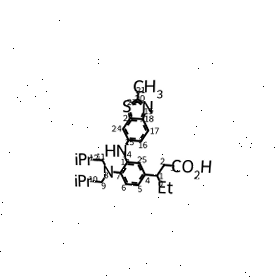 CCC(CC(=O)O)c1ccc(N(CC(C)C)CC(C)C)c(Nc2ccc3nc(C)sc3c2)c1